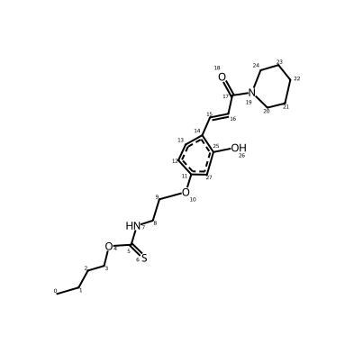 CCCCOC(=S)NCCOc1ccc(/C=C/C(=O)N2CCCCC2)c(O)c1